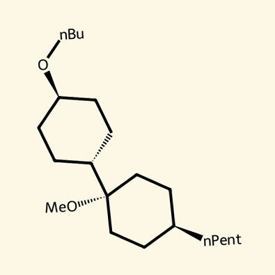 CCCCC[C@H]1CC[C@@](OC)([C@H]2CC[C@H](OCCCC)CC2)CC1